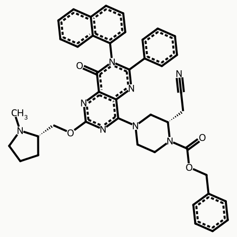 CN1CCC[C@H]1COc1nc(N2CCN(C(=O)OCc3ccccc3)[C@@H](CC#N)C2)c2nc(-c3ccccc3)n(-c3cccc4ccccc34)c(=O)c2n1